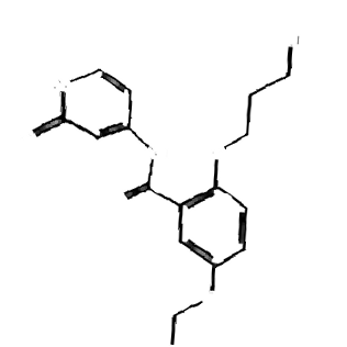 O=C(Nc1cc[nH]c(=O)c1)c1cc(OCF)ccc1OCCCC(F)(F)F